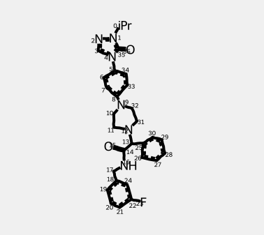 CC(C)n1ncn(-c2ccc(N3CCN(C(C(=O)NCc4cccc(F)c4)c4ccccc4)CC3)cc2)c1=O